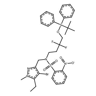 CCc1c(Br)c(CN(CCC(F)(F)CO[Si](c2ccccc2)(c2ccccc2)C(C)(C)C)S(=O)(=O)c2ccccc2[N+](=O)[O-])nn1C